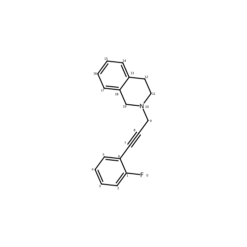 Fc1ccccc1C#CCN1CCc2ccccc2C1